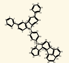 c1ccc(-c2ccc3c(c2)c2cc(-c4ccccc4)ccc2n3-c2ccc(-n3c4ccccc4c4c5c(ccc43)-c3cccc4cccc-5c34)cc2)cc1